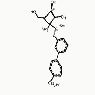 O=C(O)c1ccc(-c2cccc(O[C@@H](O)C3(O)C(O)[C@H](O)C3CO)c2)cc1